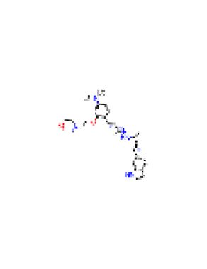 C=C(/C=C/c1ccc2cc[nH]c2c1)N/N=C(C)/C=C/c1ccc(N(CC)CC)cc1OCCN1CCOCC1